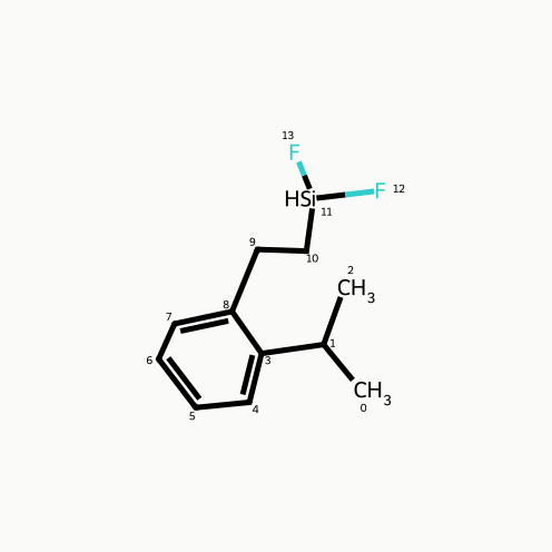 CC(C)c1ccccc1CC[SiH](F)F